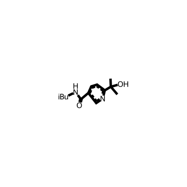 CCC(C)NC(=O)c1ccc(C(C)(C)O)nc1